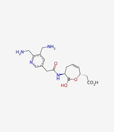 NCc1cc(CC(=O)N[C@H]2CC=C[C@H](CC(=O)O)OB2O)cnc1CN